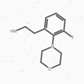 [NH]CCc1cccc(F)c1N1CCOCC1